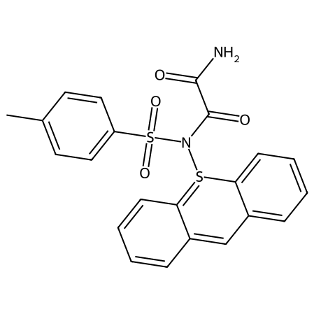 Cc1ccc(S(=O)(=O)N(C(=O)C(N)=O)S2=c3ccccc3=Cc3ccccc32)cc1